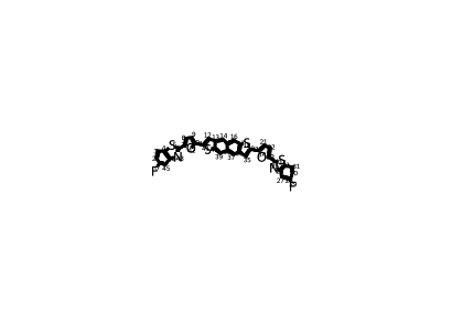 Fc1ccc2sc(-c3ccc(-c4cc5cc6cc7sc(-c8ccc(-c9nc%10cc(F)ccc%10s9)o8)cc7cc6cc5s4)o3)nc2c1